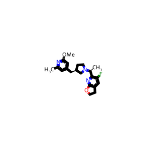 COc1cc(C[C@H]2CCN([C@H](C)c3nc4c(cc3F)CCO4)C2)cc(C)n1